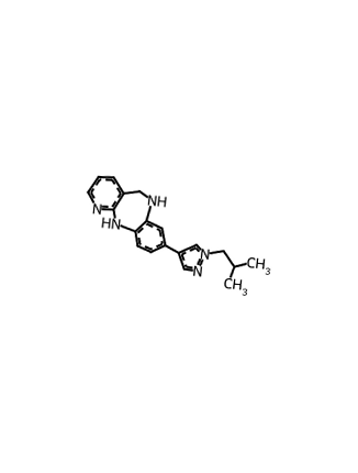 CC(C)Cn1cc(-c2ccc3c(c2)NCc2cccnc2N3)cn1